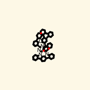 c1ccc(-c2nc(-c3cccc4c3oc3ccccc34)nc(-n3c4ccccc4c4ccc5c6ccccc6n(-c6ccc(-c7ccc8c9ccccc9c9ccccc9c8c7)cc6)c5c43)n2)cc1